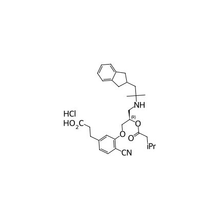 CC(C)CC(=O)O[C@H](CNC(C)(C)CC1Cc2ccccc2C1)COc1cc(CCC(=O)O)ccc1C#N.Cl